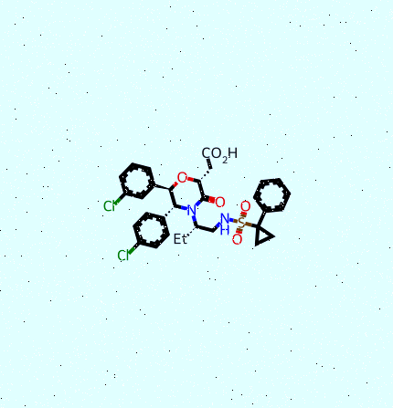 CC[C@@H](CNS(=O)(=O)C1(c2ccccc2)CC1)N1C(=O)[C@@H](CC(=O)O)O[C@H](c2cccc(Cl)c2)[C@H]1c1ccc(Cl)cc1